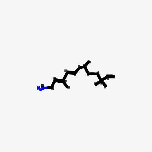 COC(C)(C)CCC(C)C/C=C/C(C)=C/CN